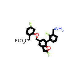 CCOC(=O)Cc1ccc(F)cc1OCc1cc(-c2cccc(CN)c2F)c2oc(F)cc2c1